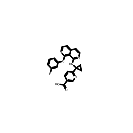 O=C(O)c1ccc(C2(Nc3nccc4ccnc(Oc5cccc(F)c5)c34)CC2)nc1